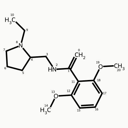 C=C(NCC1CCCN1CC)c1c(OC)cccc1OC